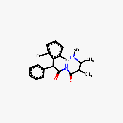 CCCCNC(C)C(C)C(=O)NC(=O)C(c1ccccc1)c1c(CC)cccc1CC